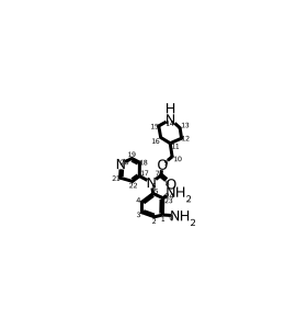 Nc1cccc(N(C(=O)OCC2CCNCC2)c2ccncc2)c1N